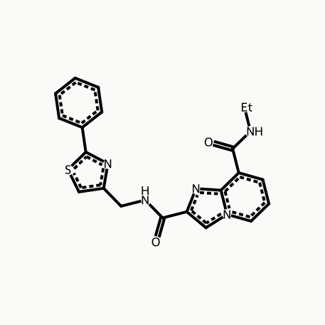 CCNC(=O)c1cccn2cc(C(=O)NCc3csc(-c4ccccc4)n3)nc12